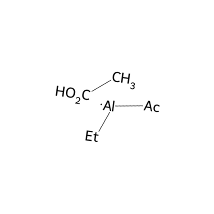 CC(=O)O.C[CH2][Al][C](C)=O